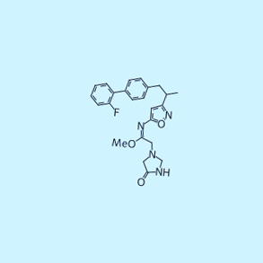 COC(CN1CNC(=O)C1)=Nc1cc(C(C)Cc2ccc(-c3ccccc3F)cc2)no1